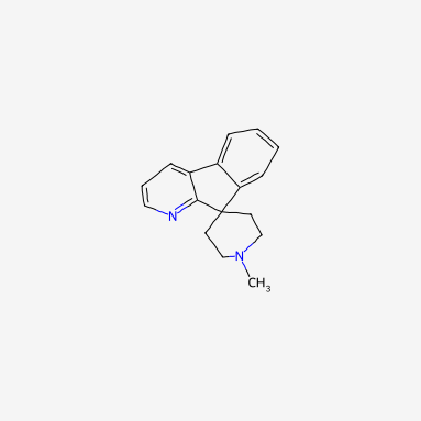 CN1CCC2(CC1)c1ccccc1-c1cccnc12